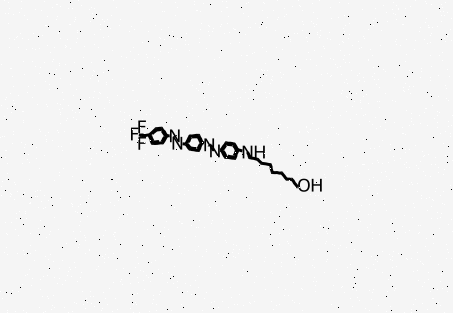 OCCCCCCCCCNc1ccc(N=Nc2ccc(N=Nc3ccc(C(F)(F)F)cc3)cc2)cc1